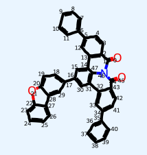 O=c1c2ccc(-c3ccccc3)cc2c2cc(-c3ccc4oc5ccccc5c4c3)cc3c4cc(-c5ccccc5)ccc4c(=O)n1c23